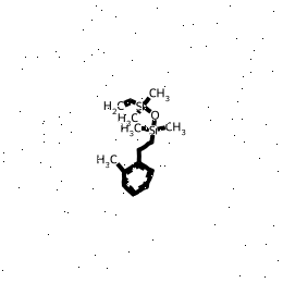 C=C[Si](C)(C)O[Si](C)(C)CCc1ccccc1C